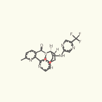 Cc1ccc(C(=O)N2C[C@@H]3CC[C@H]2[C@H](Nc2cnc(C(F)(F)F)cn2)C3)c(-c2ncccn2)n1